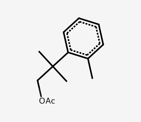 CC(=O)OCC(C)(C)c1ccccc1C